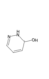 O[C]1C=CC=NN1